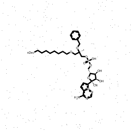 CCCCCCCCCCCCCCCCCCOC[C@](C)(COP(=O)(O)OC[C@H]1O[C@](C#N)(c2ccc3c(N)ncnn23)[C@H](O)[C@@H]1O)OCc1ccccc1